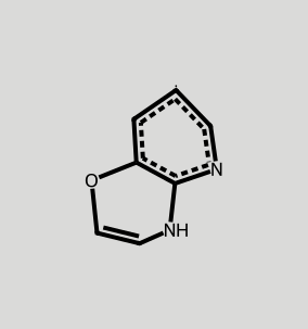 [c]1cnc2c(c1)OC=CN2